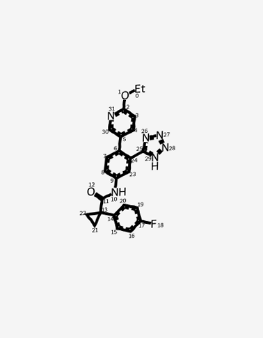 CCOc1ccc(-c2ccc(NC(=O)C3(c4ccc(F)cc4)CC3)cc2-c2nnn[nH]2)cn1